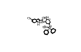 CC(C)(C)[Si](OC1CC[C@H](N)[C@H](NC(=O)c2cc3cc(Cl)ccc3[nH]2)C1)(c1ccccc1)c1ccccc1